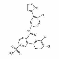 CS(=O)(=O)c1ccc(C(=O)Nc2ccc(Cl)c(-c3ccc[nH]3)c2)c(-c2ccc(Cl)c(Cl)c2)c1